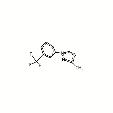 Cc1ncn(-c2cccc(C(F)(F)F)c2)n1